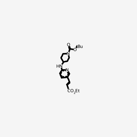 CCOC(=O)/C=C/c1ccc(NC2CCN(C(=O)OC(C)(C)C)CC2)nc1